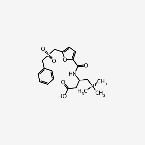 C[N+](C)(C)C[C@@H](CC(=O)O)NC(=O)c1ccc(CS(=O)(=O)Cc2ccccc2)o1